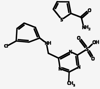 Cc1nc(CNc2cccc(Cl)c2)nc(S(=O)(=O)O)n1.NC(=O)c1cccs1